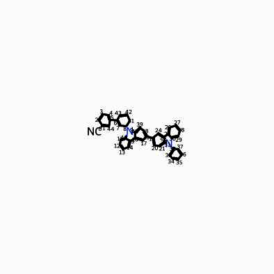 N#Cc1cccc(C2=CC(n3c4ccccc4c4cc(-c5ccc6c(c5)c5ccccc5n6-c5ccccc5)ccc43)CC=C2)c1